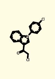 O=C(CCl)c1cn(-c2ccc(Cl)cc2)c2ccccc12